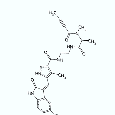 CC#CC(=O)N(C)[C@@H](C)C(=O)NCCNC(=O)c1c[nH]c(C=C2C(=O)Nc3ccc(F)cc32)c1C